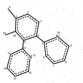 Cc1ccc(-c2ccccn2)c(-c2ccccn2)c1C